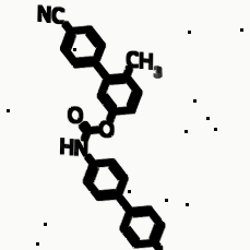 COc1ccc(-c2ccc(NC(=O)Oc3ccc(C)c(-c4ccc(C#N)cc4)c3)cc2)cc1